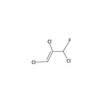 FC(Cl)C(Cl)=CCl